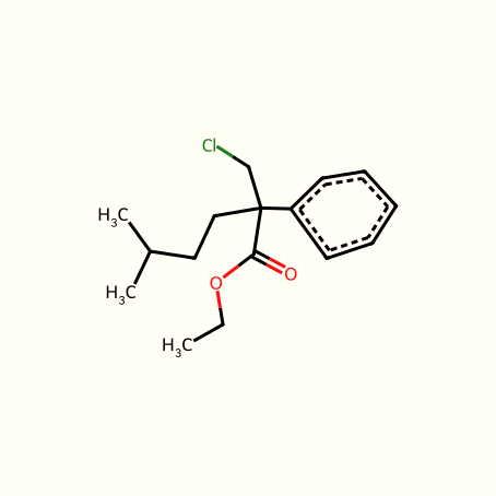 CCOC(=O)C(CCl)(CCC(C)C)c1ccccc1